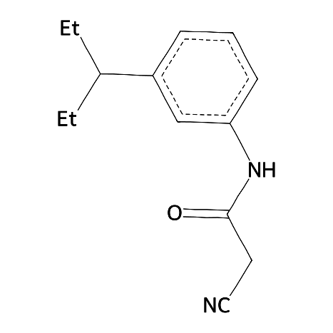 CCC(CC)c1cccc(NC(=O)CC#N)c1